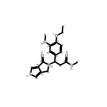 CCOc1ccc(C(CC(=O)OC)N2Cc3cscc3C2=O)cc1OC